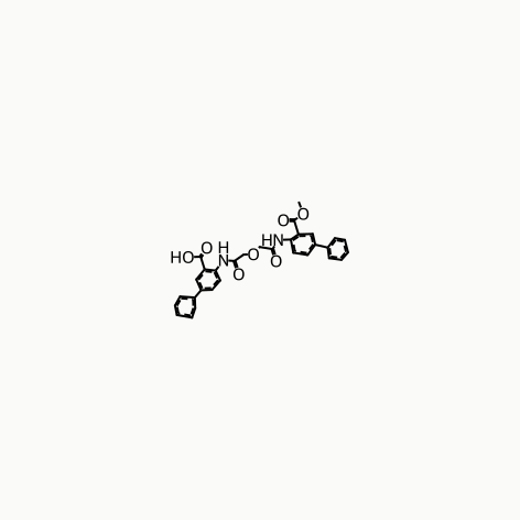 COC(=O)c1cc(-c2ccccc2)ccc1NC(=O)COCC(=O)Nc1ccc(-c2ccccc2)cc1C(=O)O